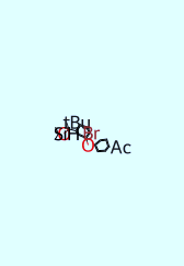 CC(=O)c1ccc(Oc2cccc(C(O[SiH](C)C)C(C)(C)C)c2)c(Br)c1